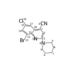 N#Cc1cc(N2CCCCC2)nc2c(Br)cc(Cl)cc12